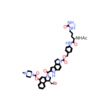 CC(=O)N[C@@H](CCCNC(N)=O)C(=O)Nc1ccc(COC(=O)N2CCc3c2ccc2[nH]c(C(=O)N4C[C@@H](CBr)c5c4cc(OC(=O)N4CCN(C)CC4)c4ccccc54)cc32)cc1